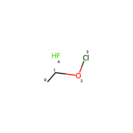 CCOCl.F